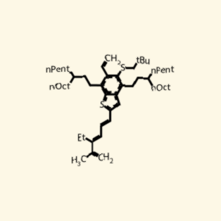 C=Cc1c(SCC(C)(C)C)c(CCC(CCCCC)CCCCCCCC)c2cc(/C=C/C=C(\CC)C(=C)C)sc2c1CCC(CCCCC)CCCCCCCC